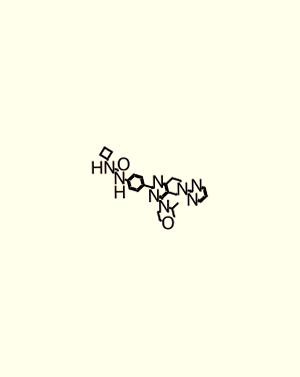 CC1COCCN1c1nc(-c2ccc(NC(=O)NC3CCC3)cc2)nc2c1CN(c1ncccn1)CC2